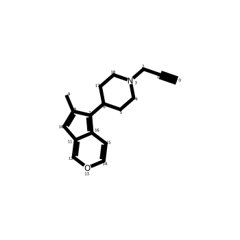 C#CCN1CCC(c2c(C)cc3coccc2-3)CC1